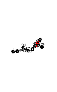 CC(C)[C@@H](C(=O)N1C[C@H](O)C[C@H]1C(=O)NOc1ccc(-c2ccccc2F)cc1)c1cc(O[C@H]2CC[C@H](N3CCC(c4cnc(N5C6CCC5CN(c5c[nH]c7nnc(-c8ccccc8O)cc57)C6)nc4)CC3)CC2)no1